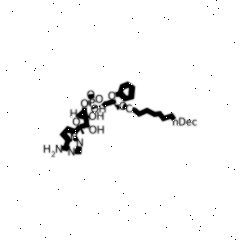 CCCCCCCCCCCCCCCCCCOC[C@H](COP(=O)(O)OC1[C@H]2O[C@@](C)(c3ccc4c(N)ncnn34)[C@H](O)[C@@]12O)Oc1ccccc1